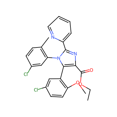 CCOC(=O)c1nc(-c2ccccn2)n(-c2cc(Cl)ccc2C)c1-c1cc(Cl)ccc1OC